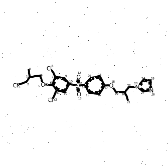 CC(CCl)COc1c(Cl)cc(S(=O)(=O)c2ccc(OCC(C)Cn3ccnc3)cc2)cc1Cl